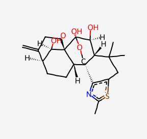 C=C1CC(=O)[C@]23[C@H](O)[C@H]1CC[C@H]2[C@@]12CO[C@]3(O)[C@@H](O)[C@@H]1C(C)(C)Cc1sc(C)nc12